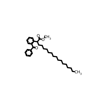 CCCCCCCCCCCCCCCCC(C(=O)OC)c1ccccc1C(=O)c1ccccc1